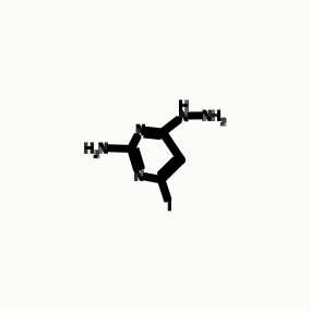 NNc1cc(I)nc(N)n1